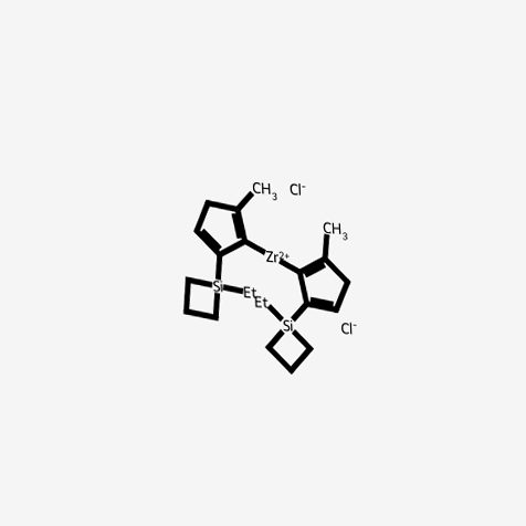 CC[Si]1(C2=CCC(C)=[C]2[Zr+2][C]2=C(C)CC=C2[Si]2(CC)CCC2)CCC1.[Cl-].[Cl-]